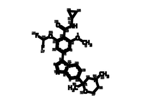 COc1cc(-c2cnc3cc(C4(C)CN(C)CCO4)ccn23)cc(OC(F)F)c1C(=O)NC1CC1